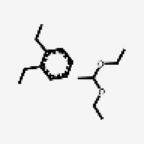 CCOC(C)OCC.CCc1ccccc1CC